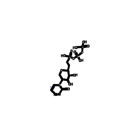 CNC(=O)N(/C=C\C=O)C1COC(CCP(=O)(O)OP(=O)(O)OP(=O)(O)O)C(O)C1O